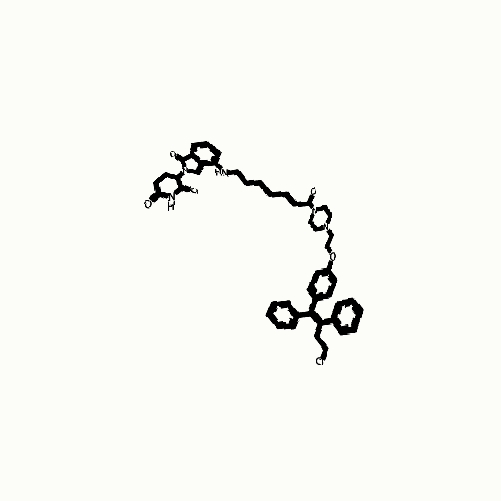 O=C1CCC(N2Cc3c(NCCCCCCC(=O)N4CCN(CCOc5ccc(/C(=C(/CCCl)c6ccccc6)c6ccccc6)cc5)CC4)cccc3C2=O)C(=O)N1